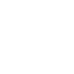 OC(C1=C(c2ccc(F)cc2F)SCC1c1ccccc1F)c1cccnc1